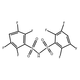 O=S(=O)(NS(=O)(=O)c1c(F)c(F)cc(F)c1F)c1c(F)c(F)cc(F)c1F